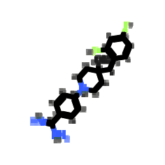 COC1(Cc2ccc(F)cc2F)CCN(c2ccc(C(=N)N)cc2)CC1